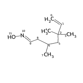 C=CC(C)(C)CC(C)CC=NO